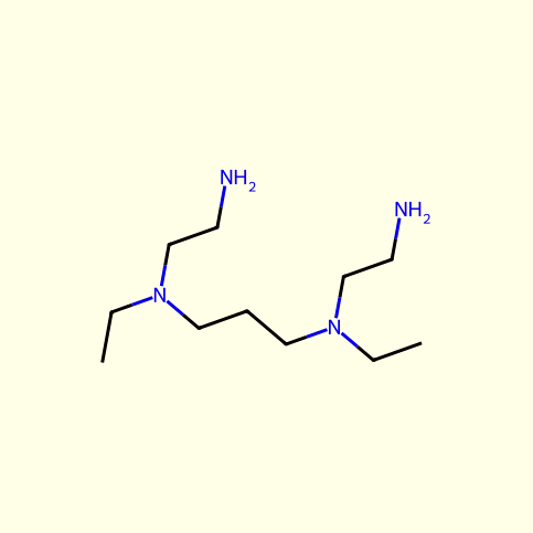 CCN(CCN)CCCN(CC)CCN